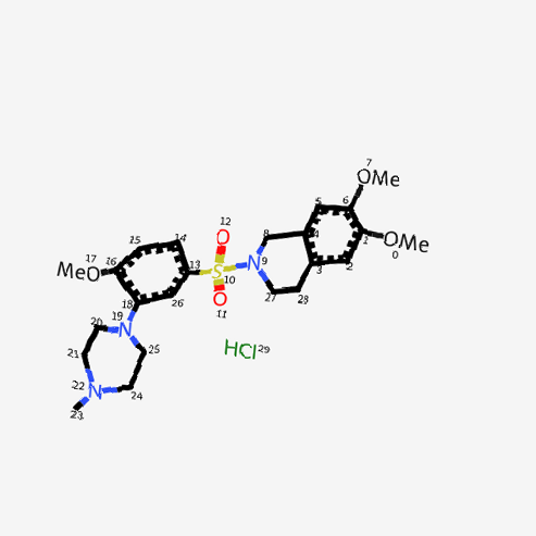 COc1cc2c(cc1OC)CN(S(=O)(=O)c1ccc(OC)c(N3CCN(C)CC3)c1)CC2.Cl